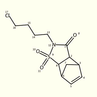 O=C1C2C3C=CC(C3)C2S(=O)(=O)N1CCCCCl